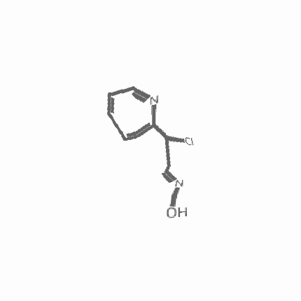 ON=CC(Cl)c1ccccn1